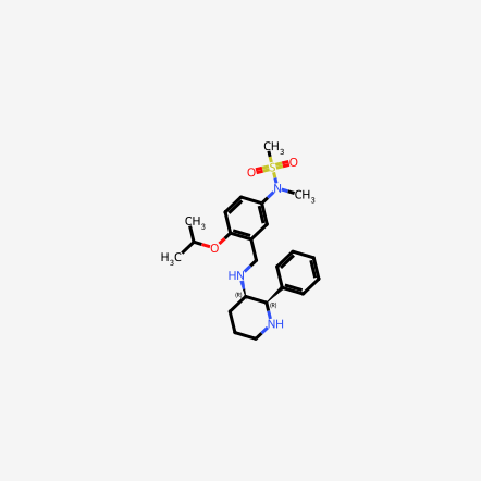 CC(C)Oc1ccc(N(C)S(C)(=O)=O)cc1CN[C@@H]1CCCN[C@@H]1c1ccccc1